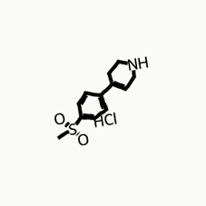 CS(=O)(=O)c1ccc(C2=CCNCC2)cc1.Cl